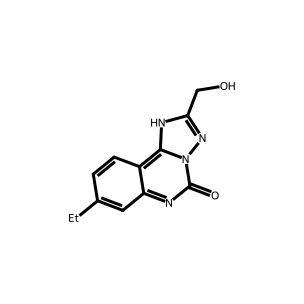 CCc1ccc2c(c1)nc(=O)n1nc(CO)[nH]c21